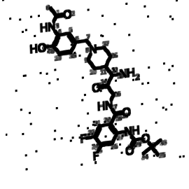 CC(=O)Nc1cc(CN2CCC(C(N)C(=O)CNC(=O)c3cc(F)c(F)cc3NC(=O)OC(C)(C)C)CC2)ccc1O